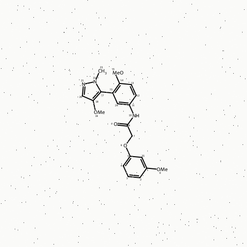 COc1cccc(OCC(=O)Nc2ccc(OC)c(-c3c(OC)cnn3C)c2)c1